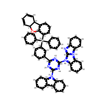 C1=CC2Oc3c(cccc3[Si](c3ccccc3)(c3ccccc3)c3cccc(-c4nc(-n5c6ccccc6c6ccccc65)nc(-n5c6ccccc6n6c7ccccc7nc56)n4)c3)C2C=C1